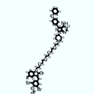 Nc1ncnc2c1c(-c1ccc(Oc3ccccc3)cc1)nn2C1CCN(CCOCCOCCOCCOCCN2C(=O)C(=Cc3cc(Br)c(OC=O)c(Br)c3)c3cc(I)ccc32)CC1